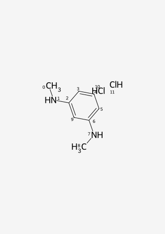 CNc1cccc(NC)c1.Cl.Cl